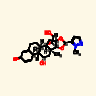 Cn1nccc1[C@@H]1O[C@@H]2C[C@H]3[C@@H]4CCC5=CC(=O)C=C[C@]5(C)[C@H]4[C@@H](O)C[C@]3(C)[C@]2(C(=O)CO)O1